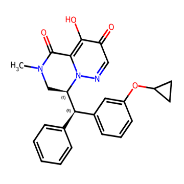 CN1C[C@H]([C@H](c2ccccc2)c2cccc(OC3CC3)c2)n2ncc(=O)c(O)c2C1=O